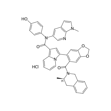 C[C@@H]1Cc2ccccc2CN1C(=O)c1cc2c(cc1-c1cc(C(=O)N(c3ccc(O)cc3)c3cnc4c(ccn4C)c3)c3ccccn13)OCO2.Cl